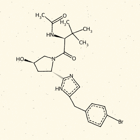 CC(=O)N[C@H](C(=O)N1C[C@H](O)C[C@H]1c1ncc(Cc2ccc(Br)cc2)[nH]1)C(C)(C)C